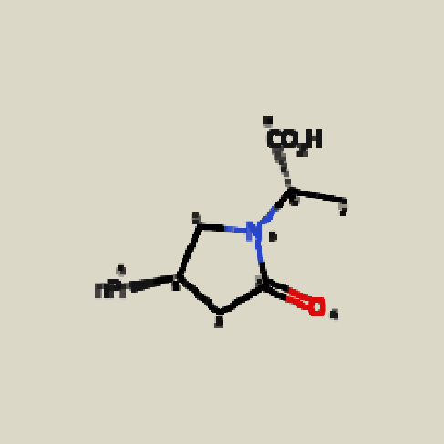 CCC[C@@H]1CC(=O)N([C@@H](C)C(=O)O)C1